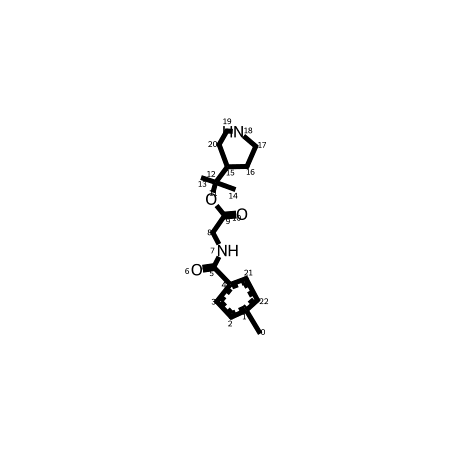 Cc1ccc(C(=O)NCC(=O)OC(C)(C)C2CCNCC2)cc1